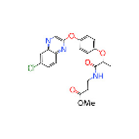 COC(=O)CCNC(=O)C(C)Oc1ccc(Oc2cnc3cc(Cl)ccc3n2)cc1